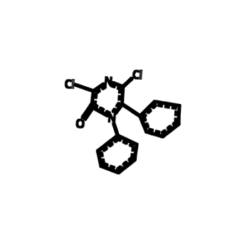 O=c1c(Cl)nc(Cl)c(-c2ccccc2)n1-c1ccccc1